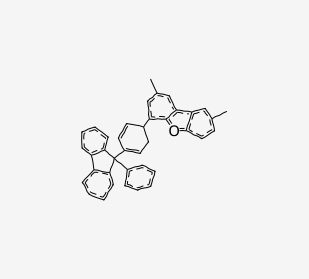 Cc1ccc2oc3c(C4C=CC(C5(c6ccccc6)c6ccccc6-c6ccccc65)=CC4)cc(C)cc3c2c1